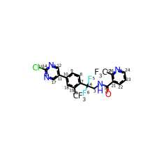 O=C(NCC(F)(F)c1ccc(-c2cnc(Cl)nc2)cc1C(F)(F)F)c1cccnc1C(F)(F)F